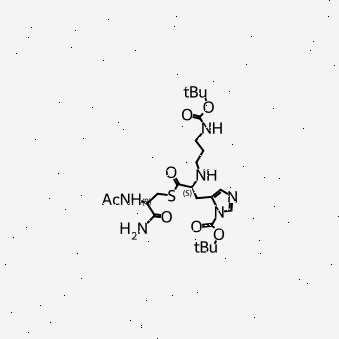 CC(=O)N[C@@H](CSC(=O)[C@H](Cc1cncn1C(=O)OC(C)(C)C)NCCCNC(=O)OC(C)(C)C)C(N)=O